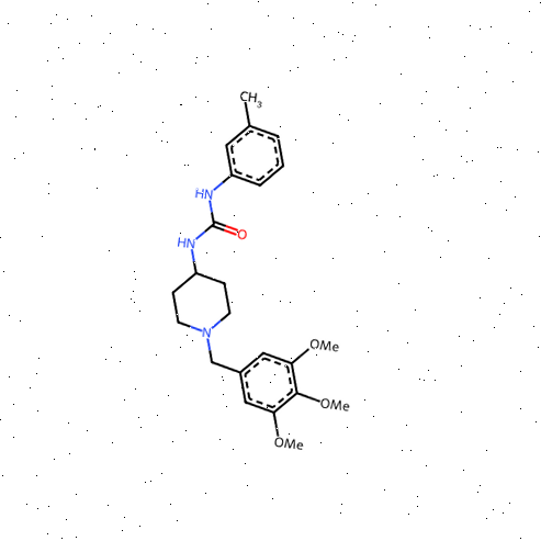 COc1cc(CN2CCC(NC(=O)Nc3cccc(C)c3)CC2)cc(OC)c1OC